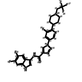 O=C(Nc1c[nH]c2cc(F)c(F)cc12)c1cn(-c2cnc(C3CCN(CC(F)(F)F)CC3)c(F)c2)nn1